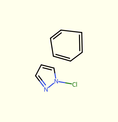 Cln1cccn1.c1ccccc1